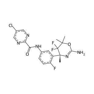 CC1(C)OC(N)=N[C@](C)(c2cc(NC(=O)c3ncc(Cl)cn3)ccc2F)C1(F)F